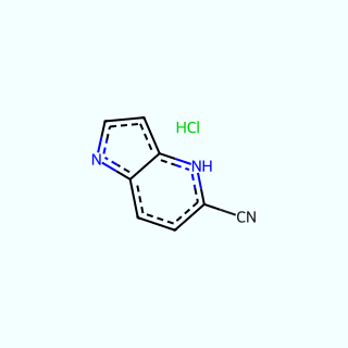 Cl.N#Cc1ccc2nccc-2[nH]1